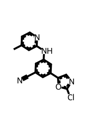 Cc1ccnc(Nc2cc(C#N)cc(-c3cnc(Cl)o3)c2)c1